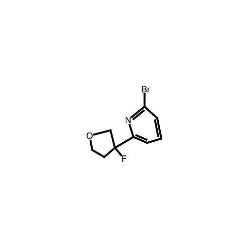 FC1(c2cccc(Br)n2)CCOC1